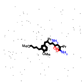 COCCCCc1cc(CC(C[C@H](N)C(O)C[C@H](C(N)=O)C(C)C)C(C)C)ccc1OC